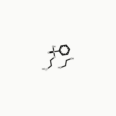 O=C(O)CCOP(=O)(O)c1ccccc1.OCCO